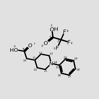 O=C(O)C(F)(F)F.O=C(O)CC1CCN(c2ccccc2)CC1